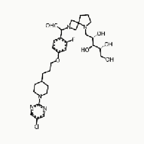 O=CC(c1ccc(OCCCC2CCN(c3ncc(Cl)cn3)CC2)cc1F)N1CC2(CCCN2C[C@H](O)[C@H](O)[C@H](O)CO)C1